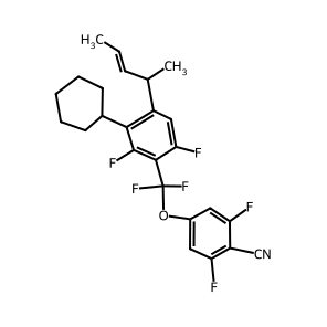 C/C=C/C(C)c1cc(F)c(C(F)(F)Oc2cc(F)c(C#N)c(F)c2)c(F)c1C1CCCCC1